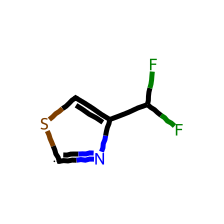 FC(F)c1cs[c]n1